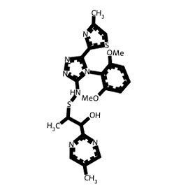 COc1cccc(OC)c1-n1c(NSC(C)C(O)c2ncc(C)cn2)nnc1-c1nc(C)cs1